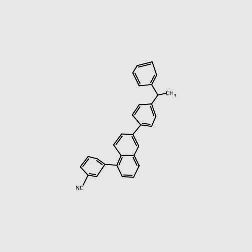 CC(c1ccccc1)c1ccc(-c2ccc3c(-c4cccc(C#N)c4)cccc3c2)cc1